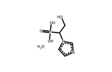 O.O=P(O)(O)C([CH]O)n1ccnc1